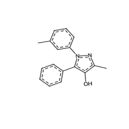 Cc1cccc(-n2nc(C)c(O)c2-c2ccccc2)c1